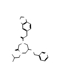 CC(C)CN1CC(OCc2cccnc2)CN(C(=O)Cc2ccc3c(c2)OCO3)CC1=O